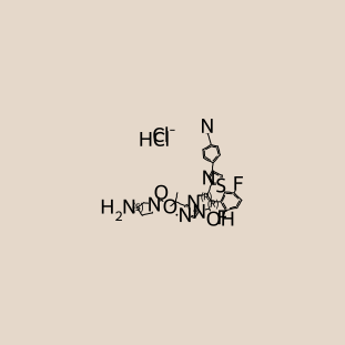 CC(OC(=O)N1CC[C@H](N)C1)C1=NN(C(O)[C@@H](c2cc(F)ccc2F)[C@@H](C)c2nc(-c3ccc(C#N)cc3)cs2)C=[N+]1.Cl.[Cl-]